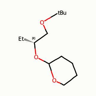 CC[C@H](COC(C)(C)C)OC1CCCCO1